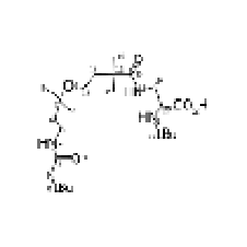 CC(C)(C)CC(=O)NCCC(C)(C)OCCC(C)(C)C(=O)NCC(NC(C)(C)C)C(=O)O